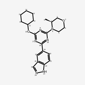 C[C@H]1COCCN1c1nc(OC2CCCCC2)nc(-c2ccc3[nH]ncc3c2)n1